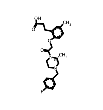 Cc1ccc(OCC(=O)N2CCN(Cc3ccc(F)cc3)C[C@H]2C)c(CCC(=O)O)c1